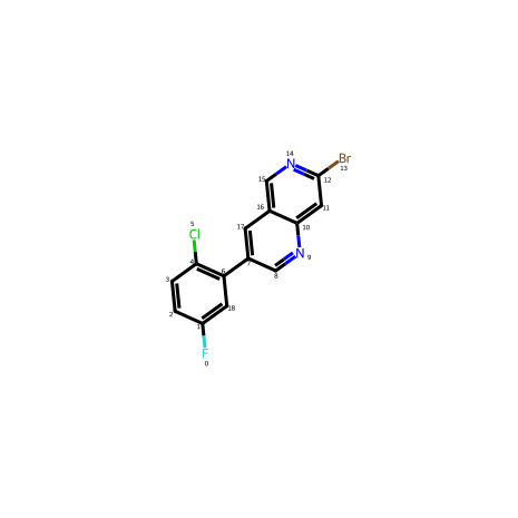 Fc1ccc(Cl)c(-c2cnc3cc(Br)ncc3c2)c1